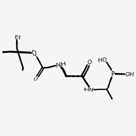 CCC(C)(C)OC(=O)NCC(=O)NC(C)P(O)O